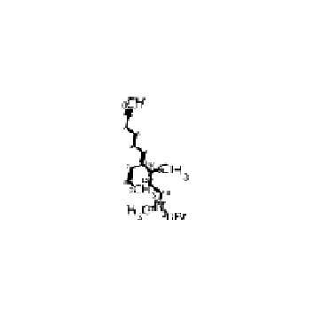 C#CC/C=C/C=C(\C=C/C)C(C)CCN(C)CCC